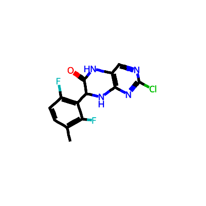 Cc1ccc(F)c(C2Nc3nc(Cl)ncc3NC2=O)c1F